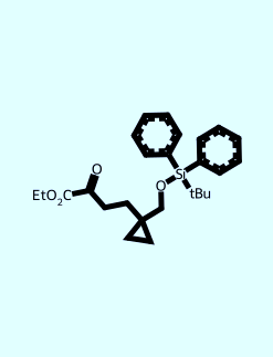 CCOC(=O)C(=O)CCC1(CO[Si](c2ccccc2)(c2ccccc2)C(C)(C)C)CC1